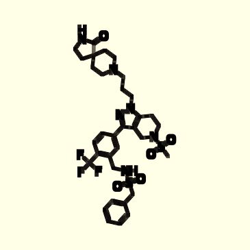 CS(=O)(=O)N1CCc2c(c(-c3ccc(C(F)(F)F)c(CNS(=O)(=O)Cc4ccccc4)c3)nn2CCCN2CCC3(CCNC3=O)CC2)C1